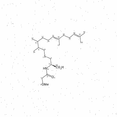 COCC(=O)N[C@@H](CSCC(C)C(C)CC/C=C(\C)CCC=C(C)C)C(=O)O